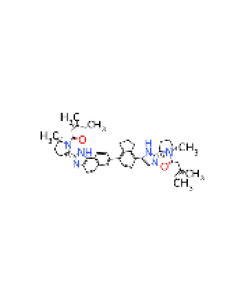 CC[C@H](C)CC(=O)N1[C@@H](C)CC[C@H]1c1ncc(-c2ccc(-c3ccc4c(ccc5nc([C@@H]6CC[C@H](C)N6C(=O)C[C@@H](C)CC)[nH]c54)c3)c3c2CCC3)[nH]1